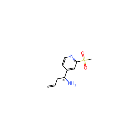 C=CC[C@H](N)c1ccnc(S(C)(=O)=O)c1